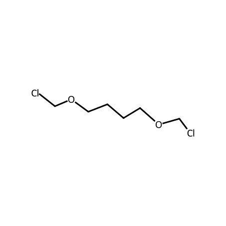 ClCOCCCCOCCl